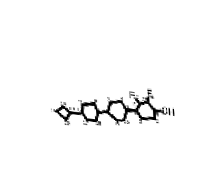 OC1CCC(C2CCC(C3CCC(C4CCC4)CC3)CC2)C(F)C1F